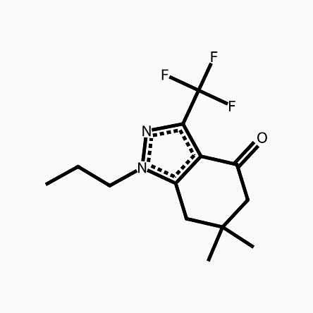 CCCn1nc(C(F)(F)F)c2c1CC(C)(C)CC2=O